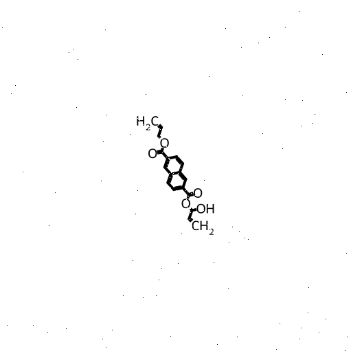 C=CCOC(=O)c1ccc2cc(C(=O)OC(O)C=C)ccc2c1